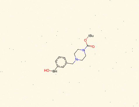 CC(C)(C)OC(=O)N1CCN(Cc2cccc(BO)c2)CC1